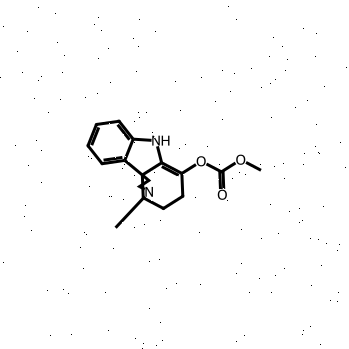 COC(=O)OC1=C2Nc3ccccc3C23CCN(C)C3CC1